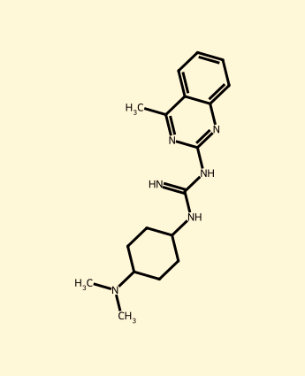 Cc1nc(NC(=N)NC2CCC(N(C)C)CC2)nc2ccccc12